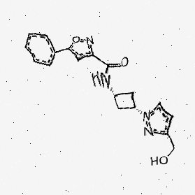 O=C(N[C@H]1C[C@@H](n2ccc(CO)n2)C1)c1cc(-c2ccccc2)on1